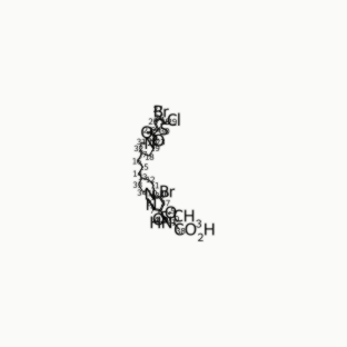 CC(NS(=O)(=O)c1cnc(N2CCC(CCCC3CCN(S(=O)(=O)c4cc(Br)c(Cl)s4)CC3)CC2)c(Br)c1)C(=O)O